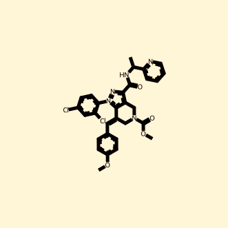 COC(=O)N1CC(=Cc2ccc(OC)cc2)c2c(c(C(=O)NC(C)c3ccccn3)nn2-c2ccc(Cl)cc2Cl)C1